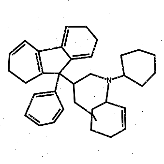 CCCC(CN(C1C=CCCC1)C1CCCCC1)C1(c2ccccc2)C2=CCCC=C2C2=C1CCC=C2